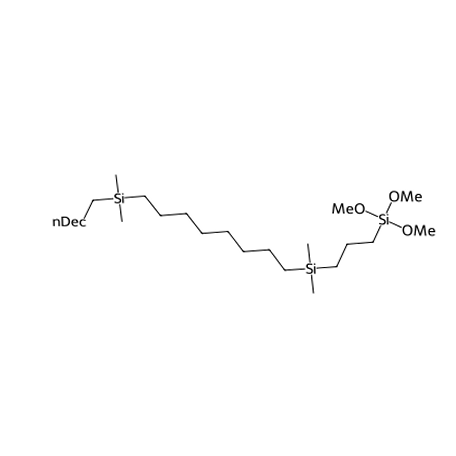 CCCCCCCCCCC[Si](C)(C)CCCCCCCC[Si](C)(C)CCC[Si](OC)(OC)OC